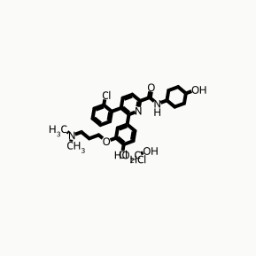 CN(C)CCCOc1cc(-c2nc(C(=O)NC3CCC(O)CC3)ccc2-c2ccccc2Cl)ccc1Cl.Cl.O=C(O)O